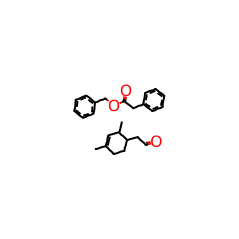 CC1=CC(C)C(CC=O)CC1.O=C(Cc1ccccc1)OCc1ccccc1